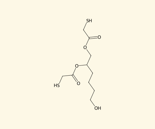 O=C(CS)OCC(CCCCO)OC(=O)CS